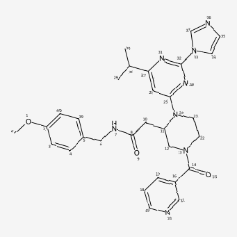 COc1ccc(CNC(=O)CC2CN(C(=O)c3cccnc3)CCN2c2cc(C(C)C)nc(-n3ccnc3)n2)cc1